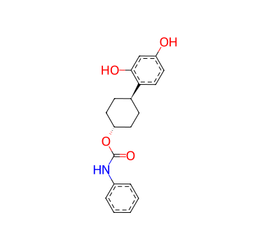 O=C(Nc1ccccc1)O[C@H]1CC[C@H](c2ccc(O)cc2O)CC1